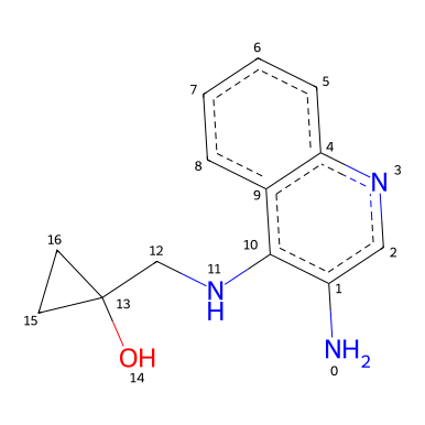 Nc1cnc2ccccc2c1NCC1(O)CC1